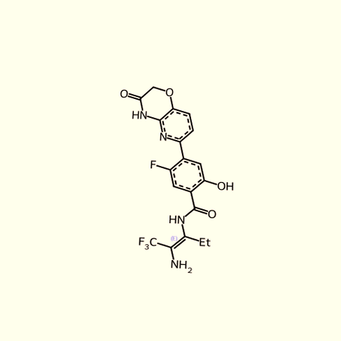 CC/C(NC(=O)c1cc(F)c(-c2ccc3c(n2)NC(=O)CO3)cc1O)=C(\N)C(F)(F)F